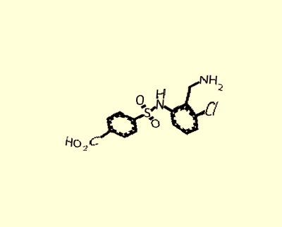 NCc1c(Cl)cccc1NS(=O)(=O)c1ccc(C(=O)O)cc1